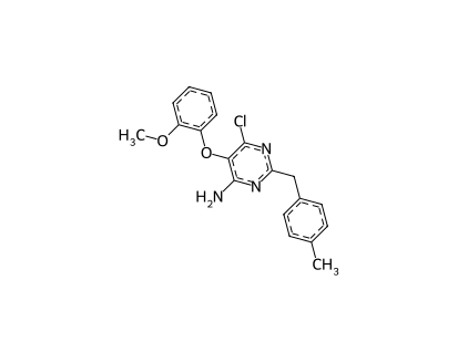 COc1ccccc1Oc1c(N)nc(Cc2ccc(C)cc2)nc1Cl